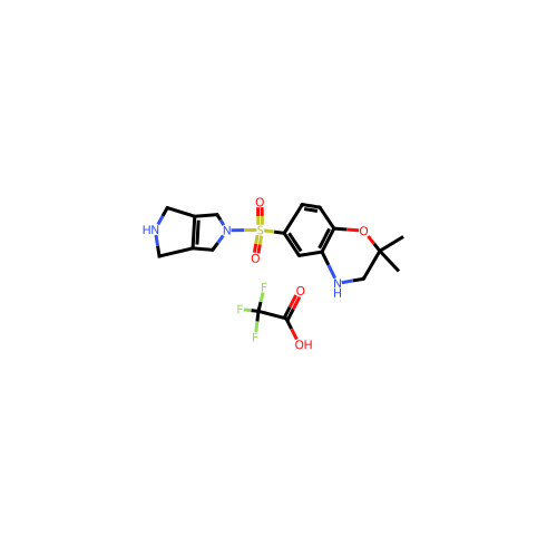 CC1(C)CNc2cc(S(=O)(=O)N3CC4=C(CNC4)C3)ccc2O1.O=C(O)C(F)(F)F